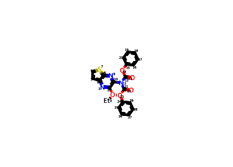 CCOc1nc2ccsc2nc1N(C(=O)Oc1ccccc1)C(=O)Oc1ccccc1